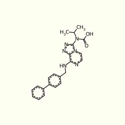 CC(C)N(C(=O)O)c1nnc2c(NCc3ccc(-c4ccccc4)cc3)nccn12